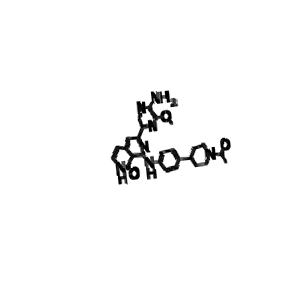 COc1nc(-c2cc3cc[nH]c(=O)c3c(Nc3ccc(C4CCN(C(C)=O)CC4)cc3)n2)cnc1N